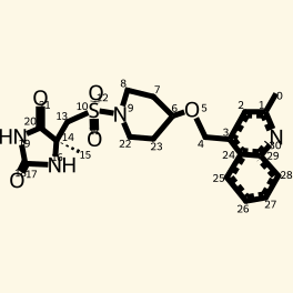 Cc1cc(COC2CCN(S(=O)(=O)C[C@@]3(C)NC(=O)NC3=O)CC2)c2ccccc2n1